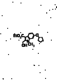 CCOC(=O)c1c(CO)n(C)c2cc(OC3CCCC3)ccc12